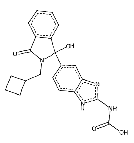 O=C(O)Nc1nc2cc(C3(O)c4ccccc4C(=O)N3CC3CCC3)ccc2[nH]1